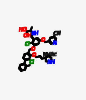 CC(=O)N[C@@]1(CCCOc2c(COc3cc(OCc4cncc(C#N)c4)cc(CNC(C)C(O)O)c3Cl)ccc(-c3ccccc3C)c2Cl)CCNC1